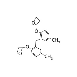 Cc1ccc(OC2CCO2)c(Cc2cc(C)ccc2OC2CCO2)c1